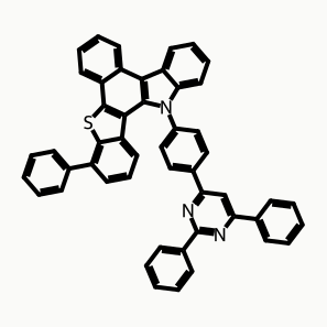 c1ccc(-c2cc(-c3ccc(-n4c5ccccc5c5c6ccccc6c6sc7c(-c8ccccc8)cccc7c6c54)cc3)nc(-c3ccccc3)n2)cc1